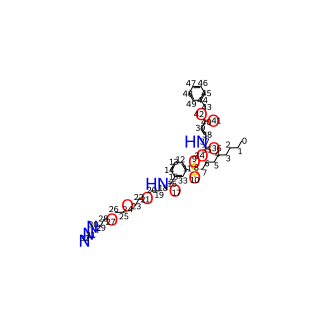 CCCCCCC(CS(=O)(=O)c1cccc(C(=O)NCCOCCOCCOCCN=[N+]=[N-])c1)OC(=O)N/C=C/C(=O)OCc1ccccc1